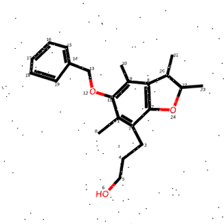 Cc1c(CCCO)c2c(c(C)c1OCc1ccccc1)C(C)C(C)O2